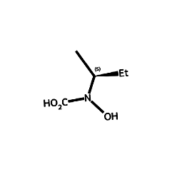 CC[C@H](C)N(O)C(=O)O